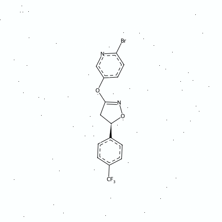 FC(F)(F)c1ccc([C@H]2CC(Oc3ccc(Br)nc3)=NO2)cc1